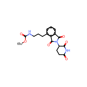 CC(C)(C)OC(=O)NCCCc1cccc2c1C(=O)N(C1CCC(=O)NC1=O)C2=O